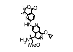 COCC(C)(N)c1cnc(OC2CC2)c2cnc(Nc3ccc4c(n3)[C@@H](C)[C@H](C)OC4=O)cc12